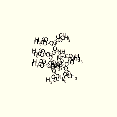 CC1(C)OCC(OCC(COC2COC(C)(C)OC2)OCC(COC(COC2COC(C)(C)OC2)COC2COC(C)(C)OC2)NC(=O)CN(CC(=O)NC(COC(COC2COC(C)(C)OC2)COC2COC(C)(C)OC2)COC(COC2COC(C)(C)OC2)COC2COC(C)(C)OC2)C(=O)CCC(=O)O)CO1